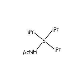 CC(=O)NS(C(C)C)(C(C)C)C(C)C